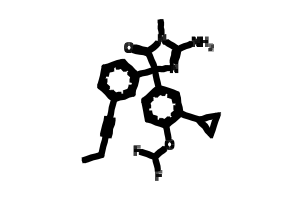 CCC#Cc1cccc(C2(c3ccc(OC(F)F)c(C4CC4)c3)N=C(N)N(C)C2=O)c1